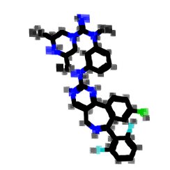 CC1CN(C(=N)N(C)c2cccc(Nc3ncc4c(n3)-c3ccc(Cl)cc3C(c3c(F)cccc3F)=NC4)c2)CC(C)N1